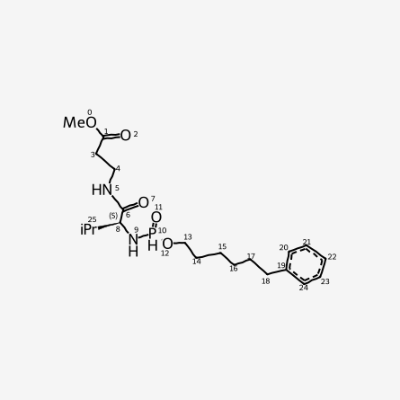 COC(=O)CCNC(=O)[C@@H](N[PH](=O)OCCCCCCc1ccccc1)C(C)C